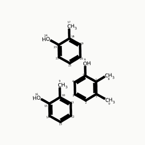 Cc1cccc(O)c1C.Cc1ccccc1O.Cc1ccccc1O